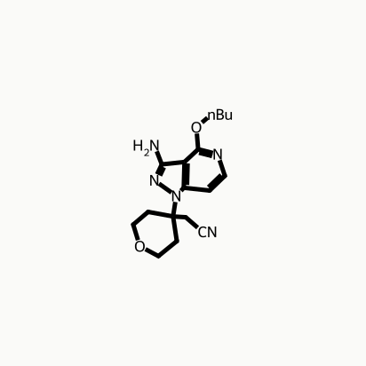 CCCCOc1nccc2c1c(N)nn2C1(CC#N)CCOCC1